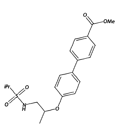 COC(=O)c1ccc(-c2ccc(OC(C)CNS(=O)(=O)C(C)C)cc2)cc1